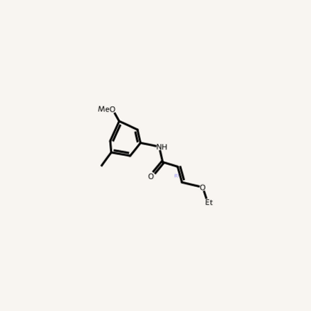 CCO/C=C/C(=O)Nc1cc(C)cc(OC)c1